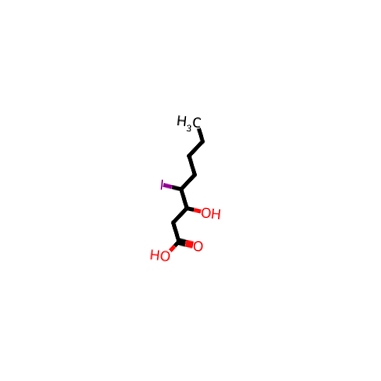 CCCCC(I)C(O)CC(=O)O